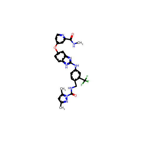 CNC(=O)c1cc(Oc2ccc3[nH]c(Nc4ccc(CNC(=O)n5nc(C)cc5C)c(C(F)(F)F)c4)nc3c2)ccn1